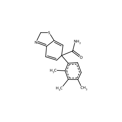 Cc1ccc(C2(C(N)=O)C=CC3=NCSC3=C2)c(C)c1C